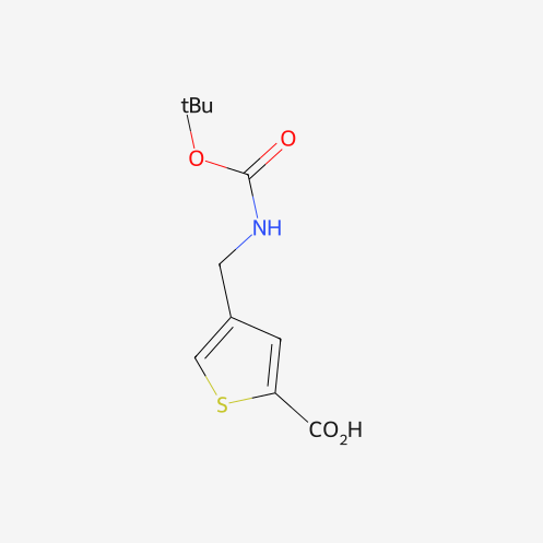 CC(C)(C)OC(=O)NCc1csc(C(=O)O)c1